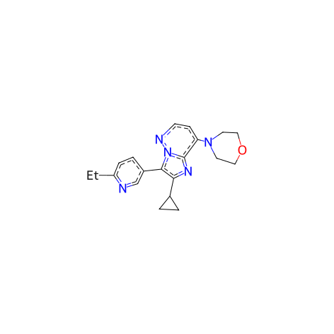 CCc1ccc(-c2c(C3CC3)nc3c(N4CCOCC4)ccnn23)cn1